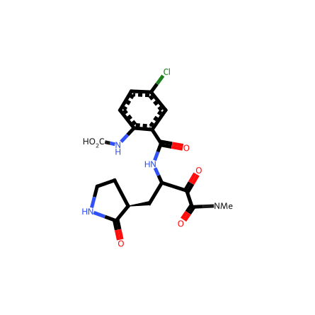 CNC(=O)C(=O)C(C[C@@H]1CCNC1=O)NC(=O)c1cc(Cl)ccc1NC(=O)O